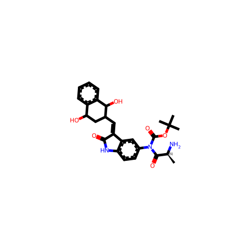 C[C@H](N)C(=O)N(C(=O)OC(C)(C)C)c1ccc2c(c1)C(=CC1CC(O)c3ccccc3C1O)C(=O)N2